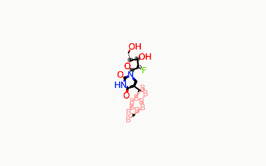 O=c1[nH]c(=O)n([C@@H]2O[C@H](CO)[C@@H](O)[C@@H]2F)cc1C12B3B4B5B6B(B3B1B42)B1B5C61